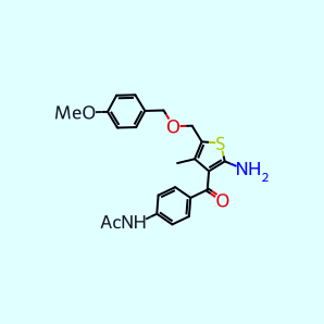 COc1ccc(COCc2sc(N)c(C(=O)c3ccc(NC(C)=O)cc3)c2C)cc1